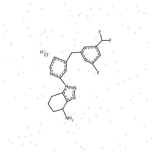 NC1CCCc2c1nnn2-c1cc(Cc2cc(F)cc(C(F)F)c2)ccn1.[Cl-].[H+]